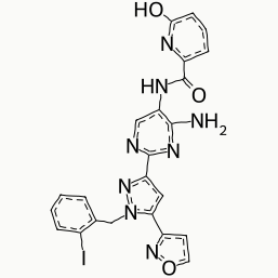 Nc1nc(-c2cc(-c3ccon3)n(Cc3ccccc3I)n2)ncc1NC(=O)c1cccc(O)n1